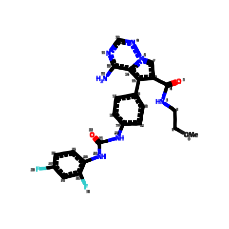 COCCNC(=O)c1cn2ncnc(N)c2c1-c1ccc(NC(=O)Nc2ccc(F)cc2F)cc1